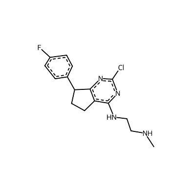 CNCCNc1nc(Cl)nc2c1CCC2c1ccc(F)cc1